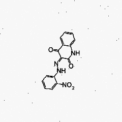 O=C1Nc2ccccc2C(=O)/C1=N/Nc1ccccc1[N+](=O)[O-]